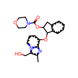 Cc1nc2c(OC3c4ccccc4CC3OC(=O)N3CCOCC3)cccn2c1CO